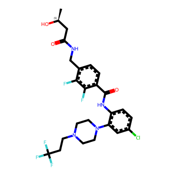 C[C@H](O)CC(=O)NCc1ccc(C(=O)Nc2ccc(Cl)cc2N2CCN(CCC(F)(F)F)CC2)c(F)c1F